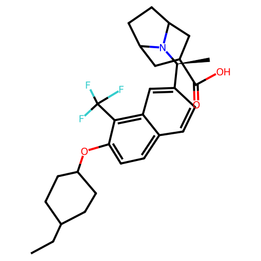 CCC1CCC(Oc2ccc3ccc([C@H](C)N4C5CCC4CC(C(=O)O)C5)cc3c2C(F)(F)F)CC1